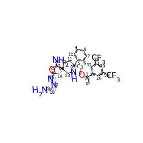 C[C@@H](OC[C@@]1(c2ccccc2)CC[C@](C/C=N\N=C/N)(C(N)=O)CN1)c1cc(C(F)(F)F)cc(C(F)(F)F)c1